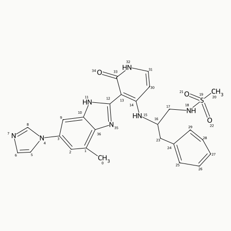 Cc1cc(-n2ccnc2)cc2[nH]c(-c3c(NC(CNS(C)(=O)=O)Cc4ccccc4)cc[nH]c3=O)nc12